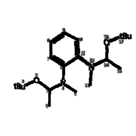 CC(OC(C)(C)C)N(C)c1ccccc1N(C)C(C)OC(C)(C)C